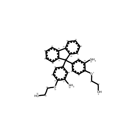 OCCOc1ccc(C2(c3ccc(OCCO)c([SiH3])c3)c3ccccc3-c3ccccc32)cc1[SiH3]